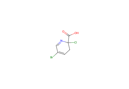 O=C(O)C1(Cl)CC=C(Br)C=N1